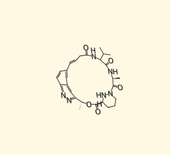 CC(C)C1NC(=O)C/C=C/c2ccc3nnc(cc3c2)[C@@H](C)OC(=O)[C@@H]2CCCN(N2)C(=O)[C@H](C)NC1=O